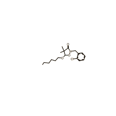 CCCCCCOC1ON(Cc2ccccc2Cl)C(=O)C1(C)C